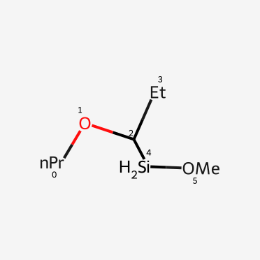 CCCOC(CC)[SiH2]OC